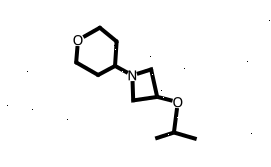 CC(C)OC1CN(C2CCOCC2)C1